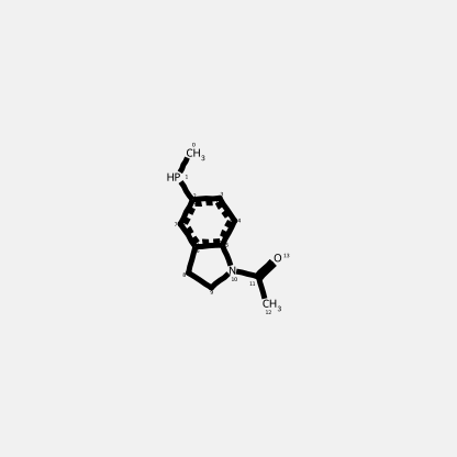 CPc1ccc2c(c1)CCN2C(C)=O